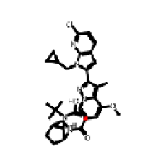 COc1cc(C(=O)N2CC3CCC2[C@@H]3N(C(=O)O)C(C)(C)C)cn2nc(-c3cc4ccc(Cl)nc4n3CC3CC3)c(C)c12